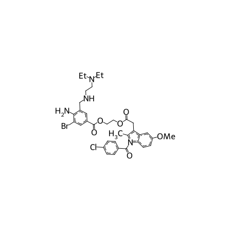 CCN(CC)CCNCc1cc(C(=O)OCCOC(=O)Cc2c(C)n(C(=O)c3ccc(Cl)cc3)c3ccc(OC)cc23)cc(Br)c1N